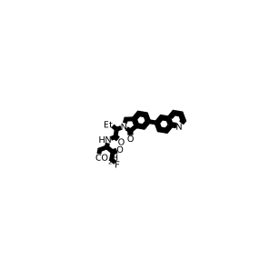 CCC(C(=O)NC(CC(=O)O)C(=O)CF)N1Cc2ccc(-c3ccc4ncccc4c3)cc2C1=O